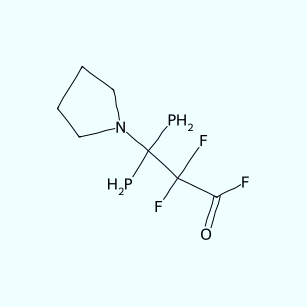 O=C(F)C(F)(F)C(P)(P)N1CCCC1